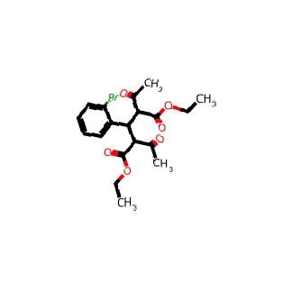 CCOC(=O)C(C(C)=O)C(c1ccccc1Br)C(C(C)=O)C(=O)OCC